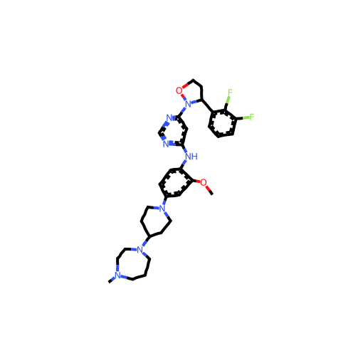 COc1cc(N2CCC(N3CCCN(C)CC3)CC2)ccc1Nc1cc(N2OCCC2c2cccc(F)c2F)ncn1